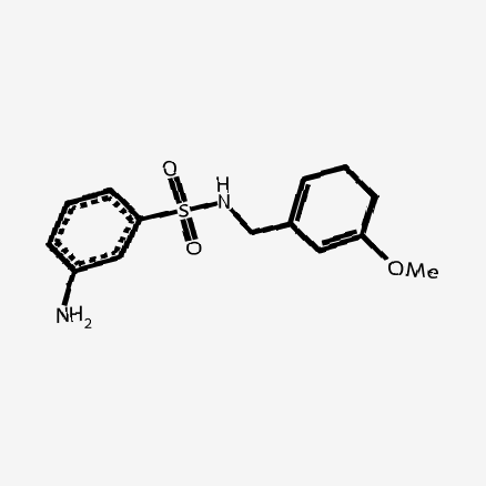 COC1=CC(CNS(=O)(=O)c2cccc(N)c2)=CCC1